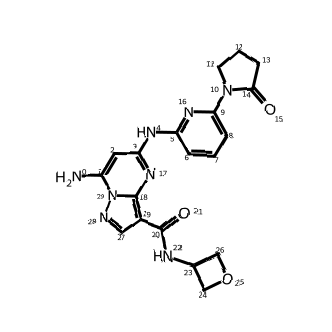 Nc1cc(Nc2cccc(N3CCCC3=O)n2)nc2c(C(=O)NC3COC3)cnn12